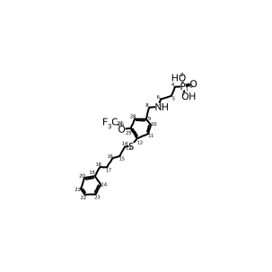 O=P(O)(O)CCCNCc1ccc(SCCCCCc2ccccc2)c(OC(F)(F)F)c1